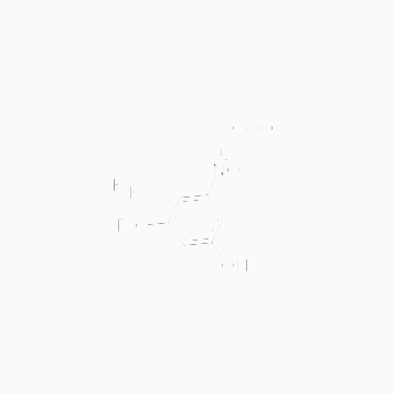 O=C([O-])[O-].O=[N+]([O-])c1cc(O)cc(C(F)(F)F)c1.[K+].[K+]